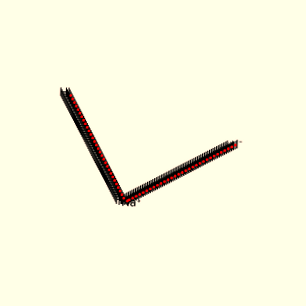 I.I.I.I.I.I.I.I.I.I.I.I.I.I.I.I.I.I.I.I.I.I.I.I.I.I.I.I.I.I.I.I.I.I.I.I.I.I.I.I.I.I.I.I.I.I.I.I.I.I.I.I.I.I.I.I.I.I.I.I.I.I.I.I.I.I.I.I.I.I.I.I.I.I.I.I.I.I.I.I.I.I.I.I.I.I.I.I.I.I.I.I.I.I.I.I.I.I.I.I.I.I.I.I.I.I.I.I.I.I.I.I.I.I.I.I.I.I.I.I.I.I.I.I.[I-].[Na+]